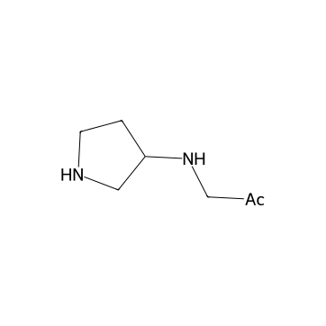 CC(=O)CNC1CCNC1